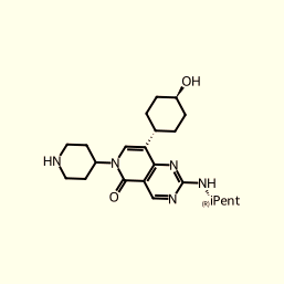 CCC[C@@H](C)Nc1ncc2c(=O)n(C3CCNCC3)cc([C@H]3CC[C@H](O)CC3)c2n1